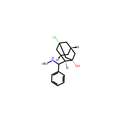 CCCCNC(c1ccccc1)[C@H]1[C@H]2C[C@@H]3C[C@](Cl)(C2)C[C@@]1(O)C3